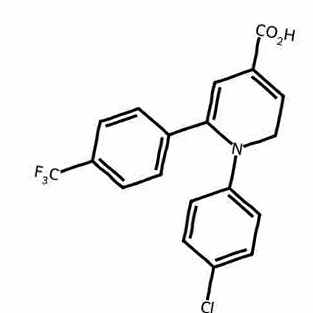 O=C(O)C1=CCN(c2ccc(Cl)cc2)C(c2ccc(C(F)(F)F)cc2)=C1